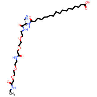 CCNC(=O)COCCOCCNC(=O)COCCOCCNC(=O)[C@H](CN)NC(=O)CCCCCCCCCCCCCCCCC(=O)O